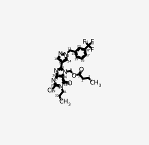 CCCC(=O)OCn1c(-c2cnn(Cc3cccc(C(F)(F)F)c3)c2)nc2nc(Cl)n(CCC)c(=O)c21